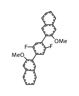 COc1cc2ccccc2cc1-c1cc(F)c(-c2cc3ccccc3cc2OC)cc1F